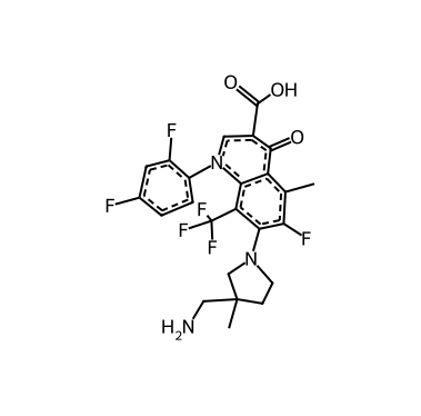 Cc1c(F)c(N2CCC(C)(CN)C2)c(C(F)(F)F)c2c1c(=O)c(C(=O)O)cn2-c1ccc(F)cc1F